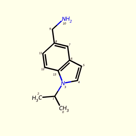 CC(C)n1ccc2cc(CN)ccc21